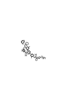 Cc1cc(-c2ccnc(Nc3cnn(CCCN4[C@@H](c5ncccc5C)CCC[C@H]4c4ncccc4C)c3)n2)ccc1CNC(=O)N1CC(OC(C)C)C1